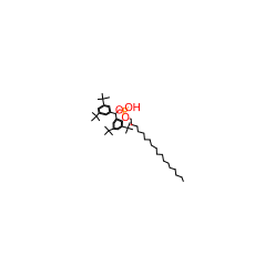 CCCCCCCCCCCCCCCCCCOP(O)OC(c1cc(C(C)(C)C)cc(C(C)(C)C)c1)c1cc(C(C)(C)C)cc(C(C)(C)C)c1